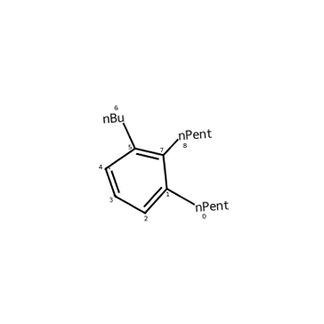 CCCCCc1cc[c]c(CCCC)c1CCCCC